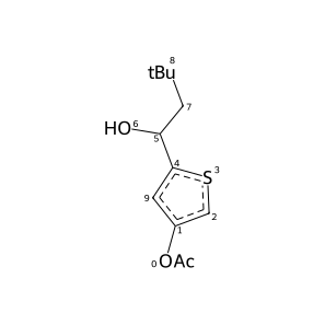 CC(=O)Oc1csc(C(O)CC(C)(C)C)c1